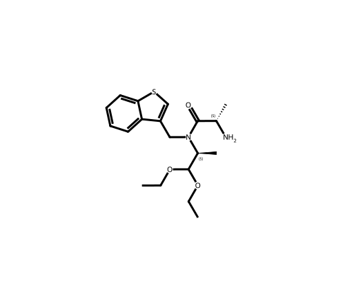 CCOC(OCC)[C@H](C)N(Cc1csc2ccccc12)C(=O)[C@H](C)N